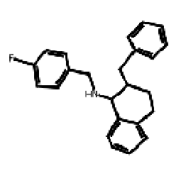 Fc1ccc(CNC2c3ccccc3CCC2Cc2ccccc2)cc1